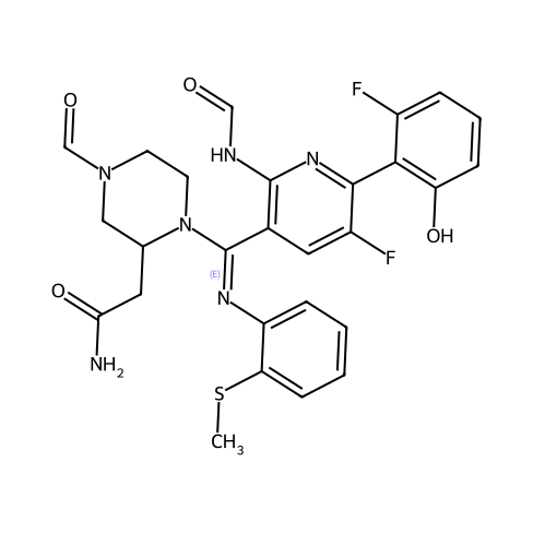 CSc1ccccc1/N=C(\c1cc(F)c(-c2c(O)cccc2F)nc1NC=O)N1CCN(C=O)CC1CC(N)=O